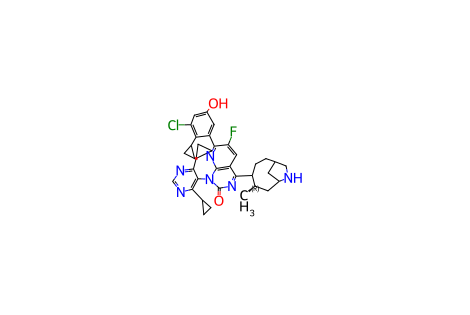 C[C@@H]1CC2CC(CCC1c1nc(=O)n(-c3c(C4CC4)ncnc3C3CC3)c3nc(-c4cc(O)cc(Cl)c4C4CC4)c(F)cc13)CN2